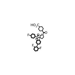 O=C(O)C1CCC(C(=O)N2CC[C@](c3ccc(-c4c(F)cccc4F)cc3)(S(=O)(=O)c3ccc(F)cc3)C2)CC1